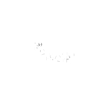 CCCOC(c1ccc(NC(=O)Cc2ccc(S(=O)(=O)NC3CC3)cc2)cc1)(C(F)(F)F)C(F)(F)F